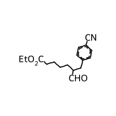 CCOC(=O)CCCCC(C=O)Cc1ccc(C#N)cc1